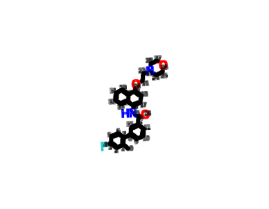 Cc1cc(F)ccc1-c1cccc(C(=O)Nc2ccc(OCCN3CCOCC3)c3ccccc23)c1